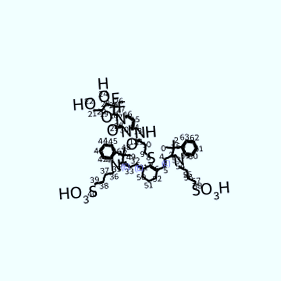 CC1(C)C(/C=C/C2=C(SCCC(=O)Nc3ccn(C4OC(CO)C(O)C4(F)F)c(=O)n3)C(=C/C=C3/N(CCCCS(=O)(=O)O)c4ccccc4C3(C)C)/CCC2)=[N+](CCCCS(=O)(=O)O)c2ccccc21